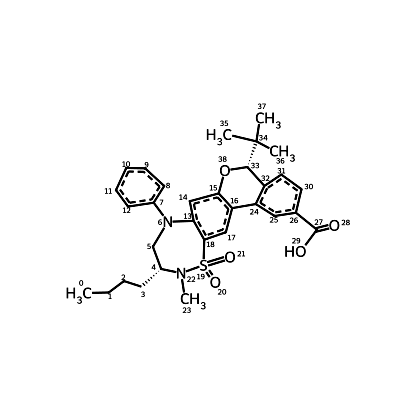 CCCC[C@@H]1CN(c2ccccc2)c2cc3c(cc2S(=O)(=O)N1C)-c1cc(C(=O)O)ccc1[C@@H](C(C)(C)C)O3